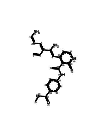 C=CC(=C\N=C/N)/C(N)=C/c1cc[nH]c(=O)c1C(=C)Nc1ccc(C(=O)NC)cc1